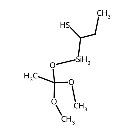 CCC(S)[SiH2]OC(C)(OC)OC